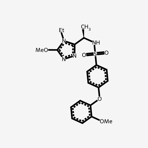 CCn1c(OC)nnc1[C@@H](C)NS(=O)(=O)c1ccc(Oc2ccccc2OC)cc1